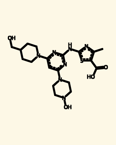 Cc1nc(Nc2nc(N3CCC(CO)CC3)cc(N3CCN(O)CC3)n2)sc1C(=O)O